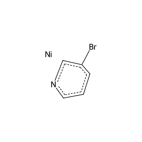 Brc1cccnc1.[Ni]